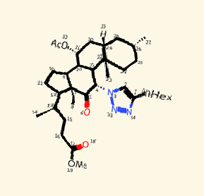 CCCCCCc1cn([C@@H]2C(=O)[C@@]3(C)C(CCC3[C@H](C)CCC(=O)OC)C3C2[C@@]2(C)CC[C@@H](C)C[C@H]2C[C@H]3OC(C)=O)nn1